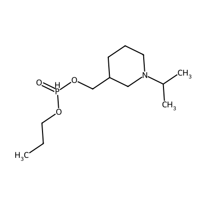 CCCO[PH](=O)OCC1CCCN(C(C)C)C1